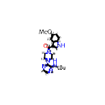 COc1ccc2[nH]cc(C(=O)N3CCN(c4nccnc4NC(C)(C)C)CC3)c2c1